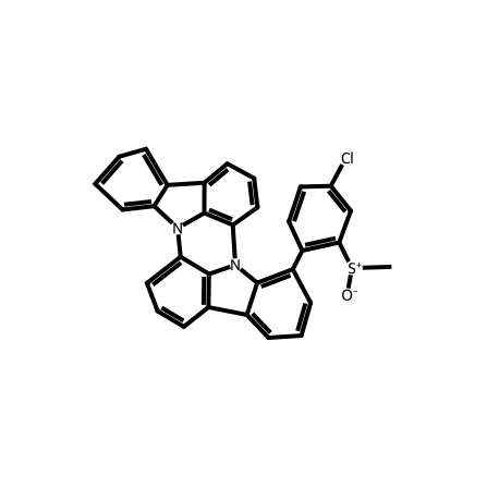 C[S+]([O-])c1cc(Cl)ccc1-c1cccc2c3cccc4c3n(c3cccc5c6ccccc6n4c53)c12